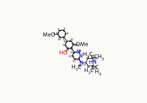 COc1cccc(-c2cc(O)c(-c3ccc(N(C)C4CC(C)(C)NC(C)(C)C4)nn3)c(OC)c2)c1